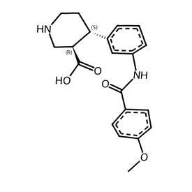 COc1ccc(C(=O)Nc2cccc([C@H]3CCNC[C@@H]3C(=O)O)c2)cc1